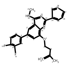 C=C(C)CCOc1cc(-c2ccc(F)c(F)c2)cc2c(NC)nc(-c3cccnc3)nc12